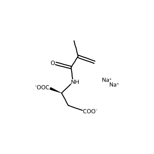 C=C(C)C(=O)N[C@@H](CC(=O)[O-])C(=O)[O-].[Na+].[Na+]